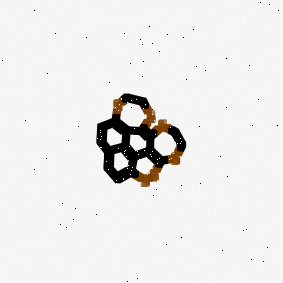 c1cc2ccc3ssc4c5c(c6c(c1SCCS6)c2c35)SCCS4